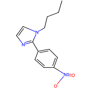 CCCCn1ccnc1-c1ccc([N+](=O)[O-])cc1